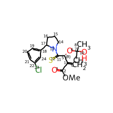 C=C(C(=O)OC)[C@@H](OC(C)(C)O)C(=S)N1CCCC1c1cccc(Cl)c1